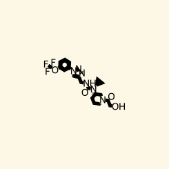 O=C(CO)N1CCC[C@@H](N(C(=O)NCc2cn(-c3cccc(OC(F)(F)F)c3)nn2)C2CC2)C1